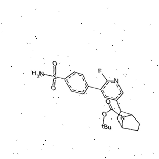 CC(C)(C)OC(=O)N1C2CCC1C(c1cnc(F)c(-c3ccc(S(N)(=O)=O)cc3)c1)C2